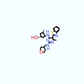 Cc1nc(NCC2CCOCC2)nc(N[C@@H]2C[C@H](CO)C[C@H]2C)c1-c1nc2ccccc2s1